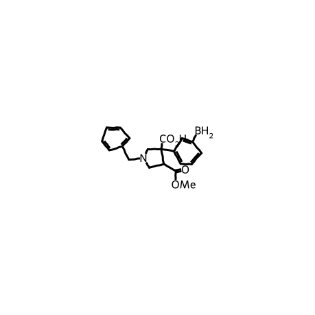 Bc1cccc(C2(C(=O)O)CN(Cc3ccccc3)CC2C(=O)OC)c1